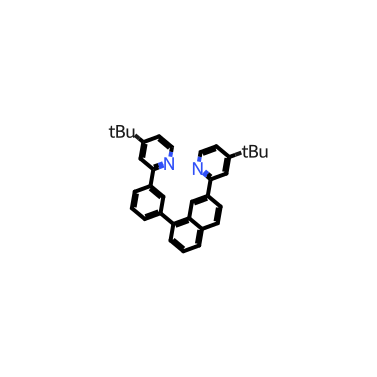 CC(C)(C)c1ccnc(-c2cccc(-c3cccc4ccc(-c5cc(C(C)(C)C)ccn5)cc34)c2)c1